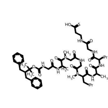 CC(C)CC(C(=O)NC(C)C(=O)NC(C(=O)NCC(=O)NCCC(O)=S)C(C)C)N(C)C(=O)CNC(=O)CN(C)C(=O)C(C)NC(=O)CNC(=O)OC(C)(C)C(Cc1ccccc1)Cc1ccccc1